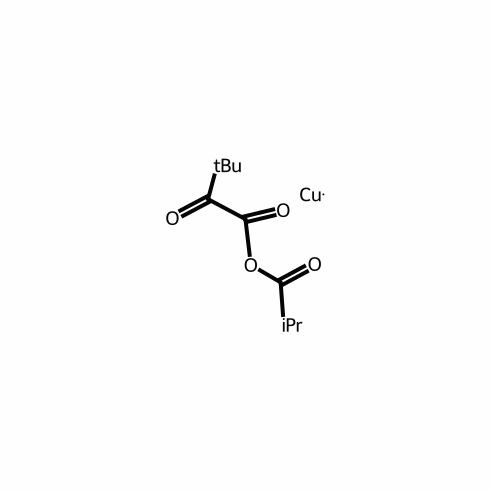 CC(C)C(=O)OC(=O)C(=O)C(C)(C)C.[Cu]